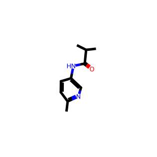 Cc1ccc(NC(=O)C(C)C)cn1